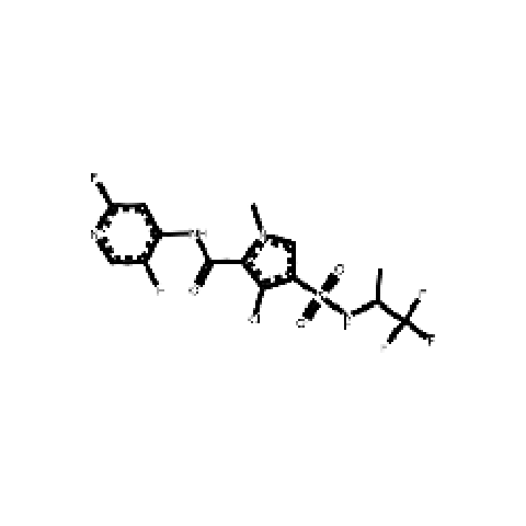 CC(NS(=O)(=O)c1cn(C)c(C(=O)Nc2cc(F)ncc2F)c1Cl)C(F)(F)F